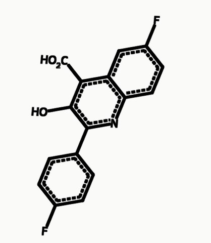 O=C(O)c1c(O)c(-c2ccc(F)cc2)nc2ccc(F)cc12